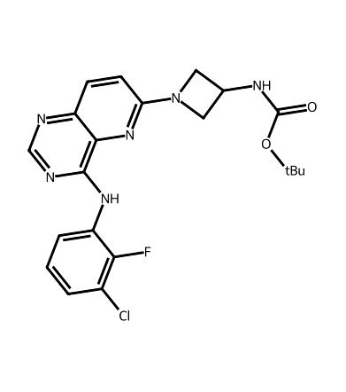 CC(C)(C)OC(=O)NC1CN(c2ccc3ncnc(Nc4cccc(Cl)c4F)c3n2)C1